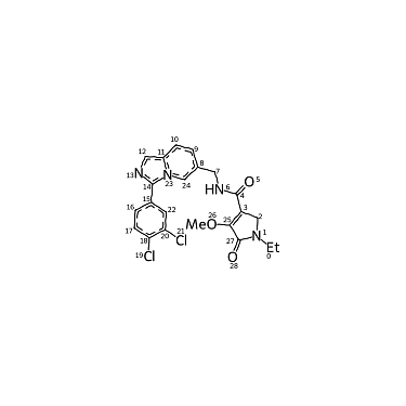 CCN1CC(C(=O)NCc2ccc3cnc(-c4ccc(Cl)c(Cl)c4)n3c2)=C(OC)C1=O